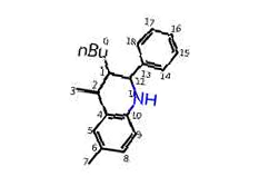 CCCCC1C(C)c2cc(C)ccc2NC1c1ccccc1